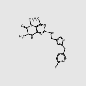 Cc1nc(NCc2cnn(Cc3ccc(F)nc3)c2)nc2c1N(C)C(=O)[C@H](C)N2